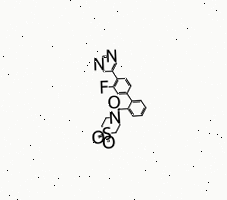 O=C(c1ccccc1-c1ccc(-c2cncnc2)c(F)c1)N1CCS(=O)(=O)CC1